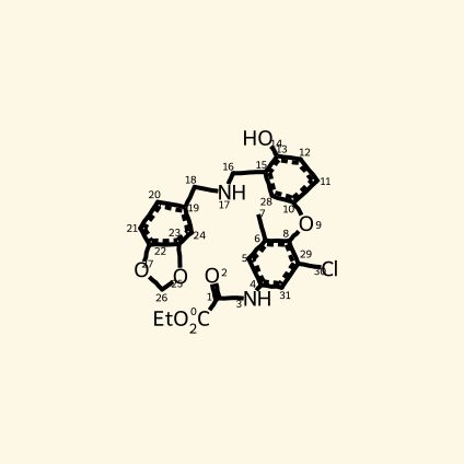 CCOC(=O)C(=O)Nc1cc(C)c(Oc2ccc(O)c(CNCc3ccc4c(c3)OCO4)c2)c(Cl)c1